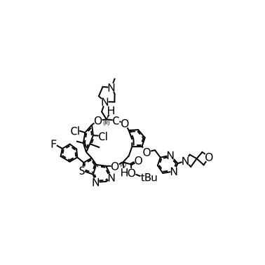 Cc1c(Cl)c2c(Cl)c(C)c1-c1c(-c3ccc(F)cc3)sc3ncnc(c13)O[C@@H](C(=O)OC(C)(C)C)Cc1cc(ccc1OCc1ccnc(N3CC4(COC4)C3)n1)OC[C@@H](CN1CCN(C)CC1)O2